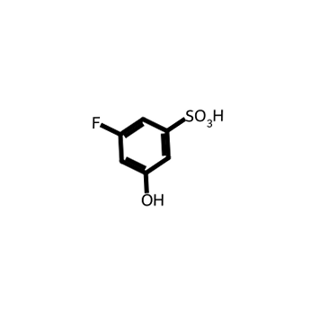 O=S(=O)(O)c1cc(O)cc(F)c1